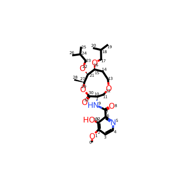 COc1ccnc(C(=O)N[C@H]2COCC[C@H](OCC(C)C)[C@@H](OCC(C)C)[C@H](C)OC2=O)c1O